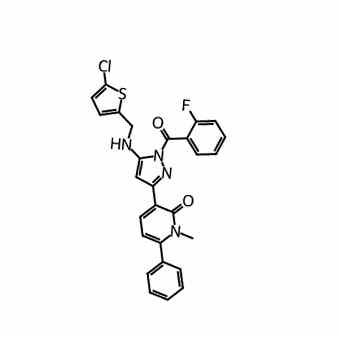 Cn1c(-c2ccccc2)ccc(-c2cc(NCc3ccc(Cl)s3)n(C(=O)c3ccccc3F)n2)c1=O